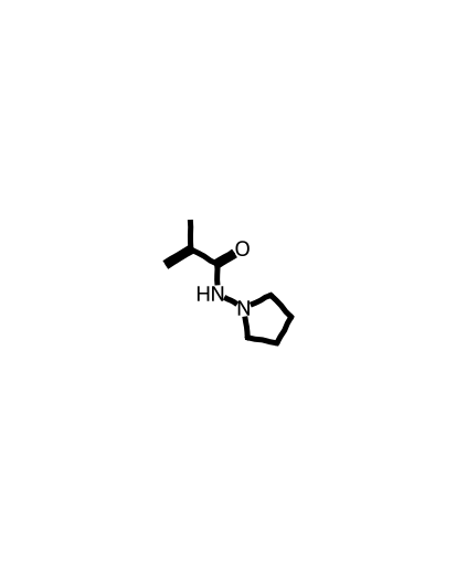 C=C(C)C(=O)NN1CCCC1